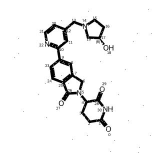 O=C1CCC(N2Cc3cc(-c4cc(CN5CC[C@@H](O)C5)ccn4)ccc3C2=O)C(=O)N1